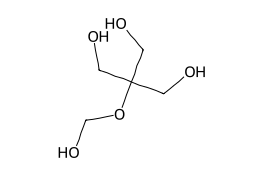 OCOC(CO)(CO)CO